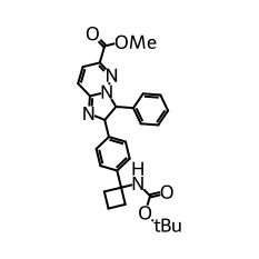 COC(=O)C1=NN2C(=NC(c3ccc(C4(NC(=O)OC(C)(C)C)CCC4)cc3)C2c2ccccc2)C=C1